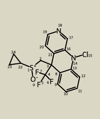 [O-][S+](CC1(C(F)(F)F)c2ccccc2N(Cl)c2cnccc21)C1CC1